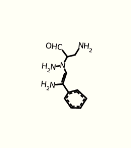 NCC(C=O)N(N)/C=C(\N)c1ccccc1